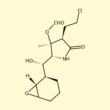 C[C@@]1(OC=O)[C@@H]([C@@H](O)[C@H]2CCCC3O[C@@H]32)NC(=O)[C@@H]1CCCl